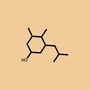 CC(C)CC1CC(O)CC(C)C1C